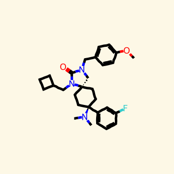 COc1ccc(CN2C[C@]3(CC[C@](c4cccc(F)c4)(N(C)C)CC3)N(CC3CCC3)C2=O)cc1